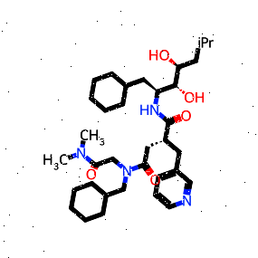 CC(C)C[C@H](O)[C@H](O)[C@H](CC1CCCCC1)NC(=O)[C@@H](CC(=O)N(CC(=O)N(C)C)CC1CCCCC1)Cc1cccnc1